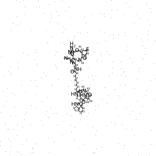 CC[C@@H](NC(=O)[C@@H]1CC(NC(=O)CCCCCCCCC(=O)NCCn2nc(C#N)c3c2CN(C)C(=O)c2ccc(F)cc2[C@@H](C)Oc2nc-3cnc2N)CC1C(=O)[C@@H](NC(=O)[C@H](C)NC)C(C)(C)C)c1ccccc1